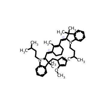 COC1=CC=CC1CC1(C)C(/C=C2\CCCC(/C=C3\N(CCC(C)C)c4ccccc4C3(C)C)=C2C)=[N+](CCC(C)C)c2ccccc21